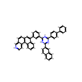 c1ccc(-c2ccc(-c3nc(-c4cccc(-c5cc6ccc7cnccc7c6c6ccccc56)c4)nc(-c4ccc5ccccc5c4)n3)cc2)cc1